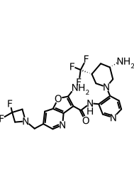 Nc1oc2cc(CN3CC(F)(F)C3)cnc2c1C(=O)Nc1cnccc1N1C[C@@H](N)C[C@@H](C(F)(F)F)C1